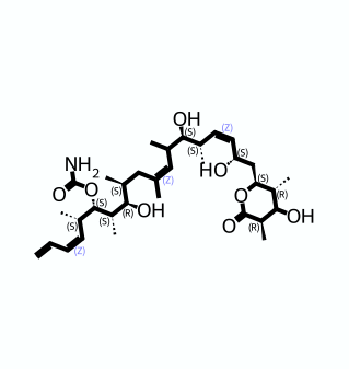 C=C/C=C\[C@H](C)[C@H](OC(N)=O)[C@@H](C)[C@H](O)[C@@H](C)C/C(C)=C\C(C)[C@@H](O)[C@@H](C)/C=C\[C@@H](O)C[C@@H]1OC(=O)[C@H](C)C(O)[C@H]1C